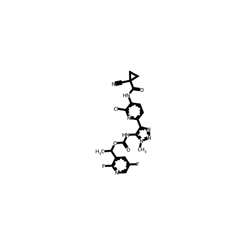 CC(OC(=O)Nc1c(-c2ccc(NC(=O)C3(C#N)CC3)c(Cl)n2)nnn1C)c1cc(F)cnc1F